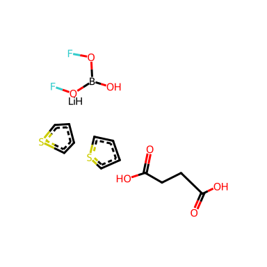 O=C(O)CCC(=O)O.OB(OF)OF.[LiH].c1ccsc1.c1ccsc1